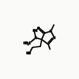 CC1=NN(C)C(=O)C1(CCO)N(O)C(=O)O